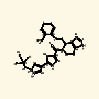 Nc1ccccc1SCC1c2nc[nH]c2CCN1C(=O)c1cnc(-c2cnn(CC(F)(F)F)c2)s1